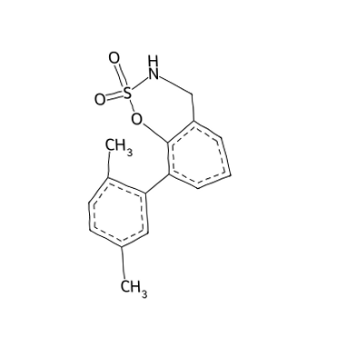 Cc1ccc(C)c(-c2cccc3c2OS(=O)(=O)NC3)c1